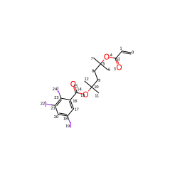 C=CC(=O)OC(C)(C)CCC(C)(C)OC(=O)c1cc(I)cc(I)c1I